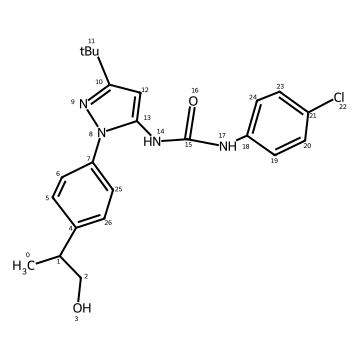 CC(CO)c1ccc(-n2nc(C(C)(C)C)cc2NC(=O)Nc2ccc(Cl)cc2)cc1